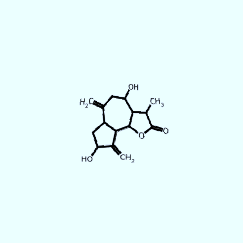 C=C1CC(O)C2C(C)C(=O)OC2C2C(=C)C(O)CC12